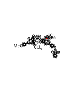 COc1ccc(C2=CN3C(=O)c4cc(OC)c(OCCCOc5cc6c(cc5OC)C(=O)N5C=C(c7ccc(OCCN8C(=O)c9ccccc9C8=O)cc7)CC5[C@@H](O[Si](C)(C)C(C)(C)C)N6C(=O)OCC(Cl)(Cl)Cl)cc4N(C(=O)OCC(Cl)(Cl)Cl)[C@H](C)C3C2)cc1